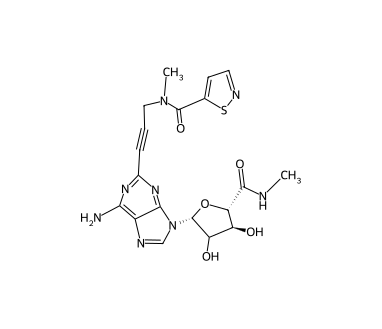 CNC(=O)[C@H]1O[C@@H](n2cnc3c(N)nc(C#CCN(C)C(=O)c4ccns4)nc32)C(O)[C@@H]1O